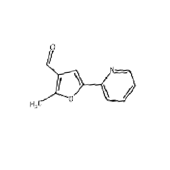 Cc1oc(-c2ccccn2)cc1C=O